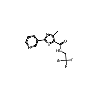 Cc1nc(-c2cccnc2)sc1C(=O)NCC(F)(F)Br